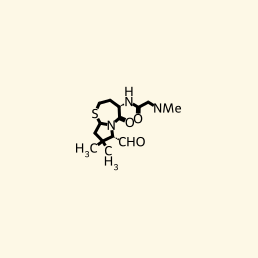 CNCC(=O)N[C@H]1CCSC2CC(C)(C)[C@@H](C=O)N2C1=O